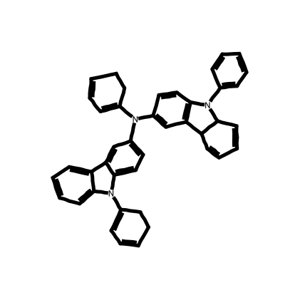 C1=CCCC(N(c2ccc3c(c2)C2C=CC=CC2N3c2ccccc2)c2ccc3c(c2)c2ccccc2n3C2=CC=CCC2)=C1